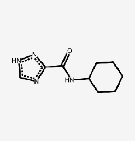 O=C(NC1CCCCC1)c1nc[nH]n1